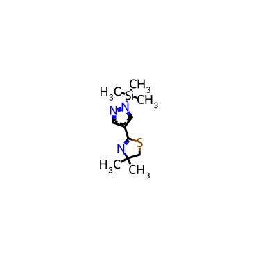 CC1(C)CSC(c2cnn([Si](C)(C)C)c2)=N1